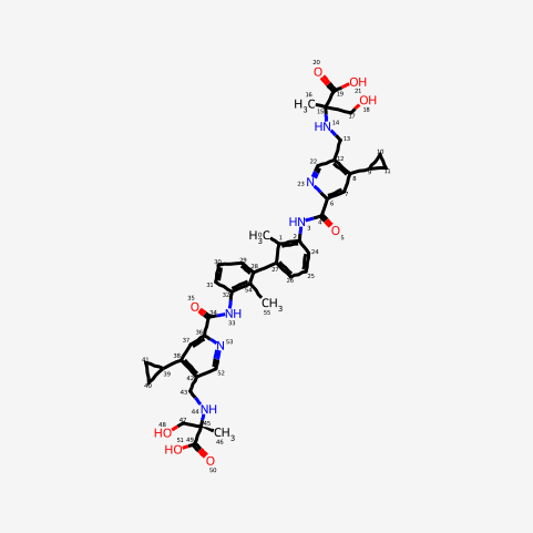 Cc1c(NC(=O)c2cc(C3CC3)c(CNC(C)(CO)C(=O)O)cn2)cccc1-c1cccc(NC(=O)c2cc(C3CC3)c(CN[C@@](C)(CO)C(=O)O)cn2)c1C